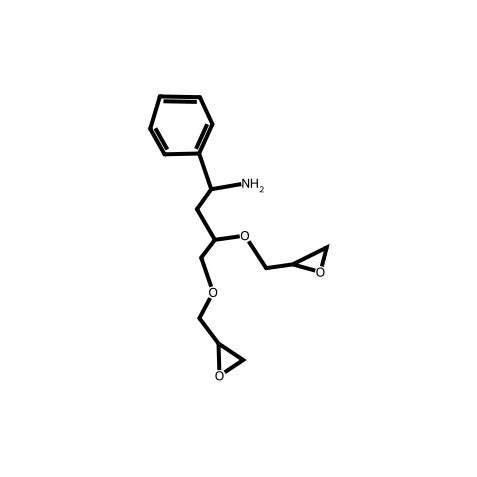 NC(CC(COCC1CO1)OCC1CO1)c1ccccc1